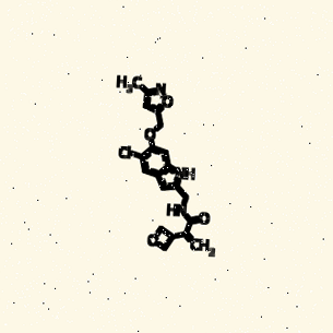 C=C(C(=O)NCc1cc2cc(Cl)c(OCc3cc(C)no3)cc2[nH]1)C1COC1